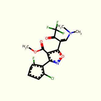 COC(=O)c1c(-c2c(F)cccc2Cl)noc1/C(=C/N(C)C)C(=O)C(F)(F)F